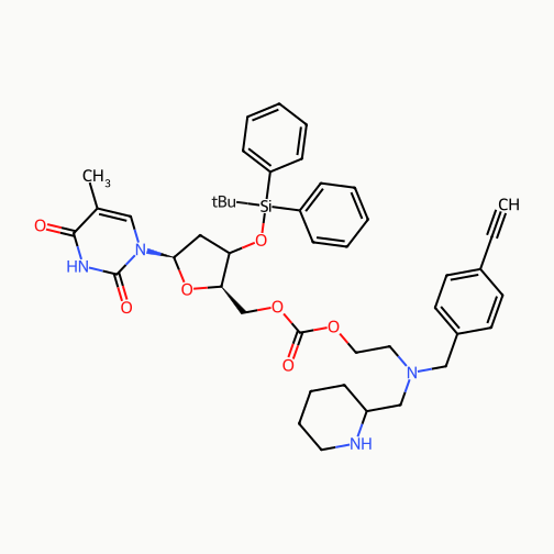 C#Cc1ccc(CN(CCOC(=O)OC[C@H]2O[C@@H](n3cc(C)c(=O)[nH]c3=O)CC2O[Si](c2ccccc2)(c2ccccc2)C(C)(C)C)CC2CCCCN2)cc1